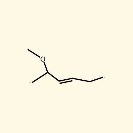 [CH2]CC=CC([CH2])OC